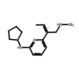 C/C=C(/CNC(C)(C)C)c1cccc(NC2CCCC2)n1